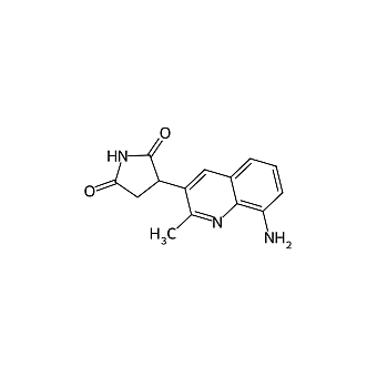 Cc1nc2c(N)cccc2cc1C1CC(=O)NC1=O